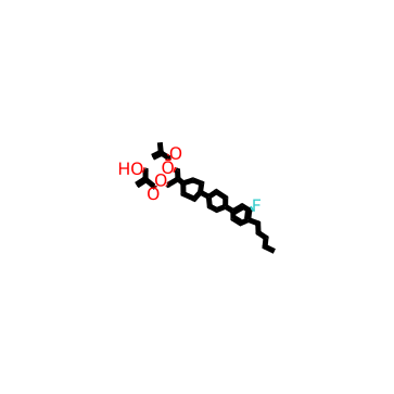 C=C(C)C(=O)OCC(COC(=O)C(=C)CO)C1CCC(C2CCC(c3ccc(CCCCC)c(F)c3)CC2)CC1